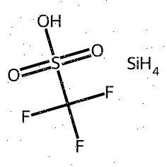 O=S(=O)(O)C(F)(F)F.[SiH4]